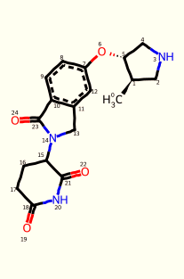 C[C@@H]1CNC[C@H]1Oc1ccc2c(c1)CN(C1CCC(=O)NC1=O)C2=O